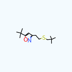 CC(C)(C)CSCCc1cc(C(C)(C)C)on1